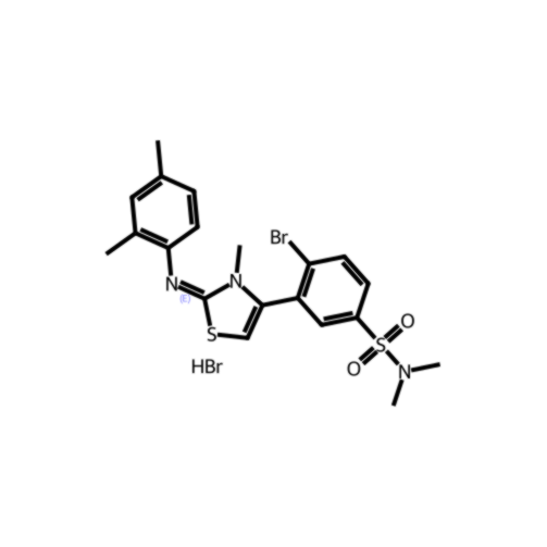 Br.Cc1ccc(/N=c2/scc(-c3cc(S(=O)(=O)N(C)C)ccc3Br)n2C)c(C)c1